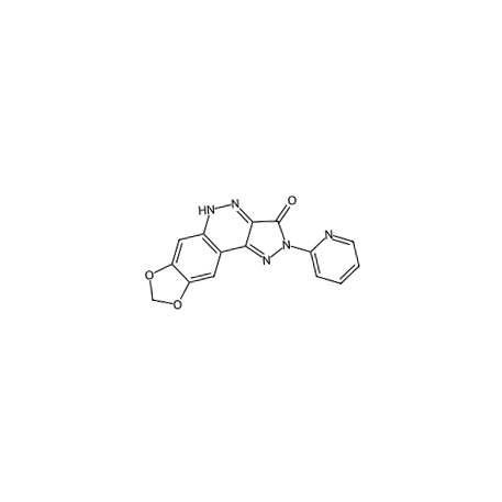 O=c1c2n[nH]c3cc4c(cc3c-2nn1-c1ccccn1)OCO4